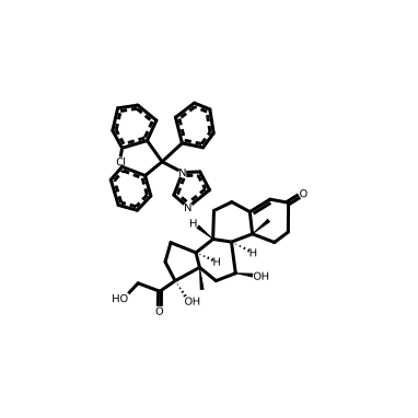 C[C@]12CCC(=O)C=C1CC[C@@H]1[C@@H]2[C@@H](O)C[C@@]2(C)[C@H]1CC[C@]2(O)C(=O)CO.Clc1ccccc1C(c1ccccc1)(c1ccccc1)n1ccnc1